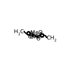 C=CCc1ccc(OC(=O)CCC(=O)Oc2ccc(CC=C)cc2OC)c(OC)c1